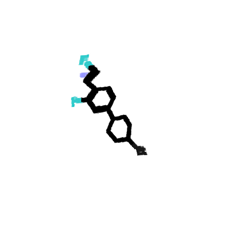 CCC1CCC(c2ccc(/C=C/F)c(F)c2)CC1